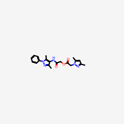 Cc1cc(C)n(CC(=O)OCC(=O)Nc2c(C)nn(-c3ccccc3)c2C)n1